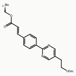 CCCCCCCCCCCCc1cnc(-c2ccc(C=CC(=O)OC[C@H](C)CC)cc2)nc1